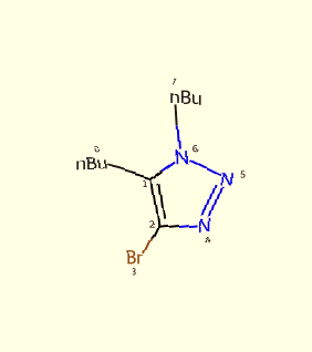 CCCCc1c(Br)nnn1CCCC